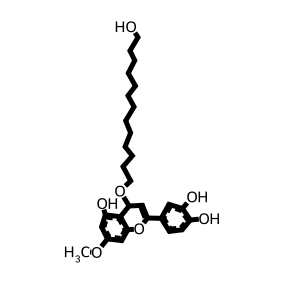 COc1cc(O)c2c(c1)OC(c1ccc(O)c(O)c1)=CC2OCCCCCCCCCCCCCO